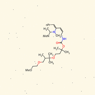 CCC/C=C(/C=C\CNC(=O)OC(C)(C)CCOC(C)(C)C(C)COCCOC)N(C)C(C)NC